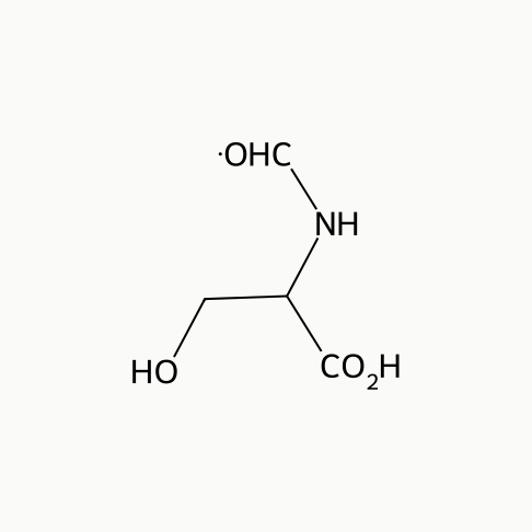 O=[C]NC(CO)C(=O)O